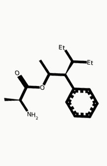 CCC(CC)[C@@H](c1ccccc1)C(C)OC(=O)[C@H](C)N